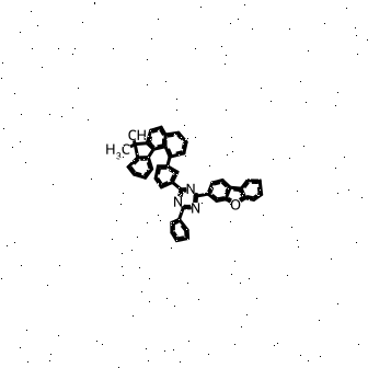 CC1(C)c2ccccc2-c2c1ccc1cccc(-c3cccc(-c4nc(-c5ccccc5)nc(-c5ccc6c(c5)oc5ccccc56)n4)c3)c21